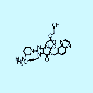 C#CCOC(=O)Cn1c(=O)n(Cc2ccc3nccnc3c2)c(=O)c2c1nc(N1CCCC(N)C1)n2CC#CC